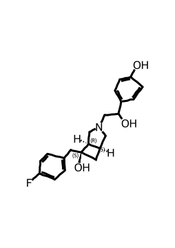 Oc1ccc(C(O)CN2C[C@H]3C[C@](O)(Cc4ccc(F)cc4)[C@H]3C2)cc1